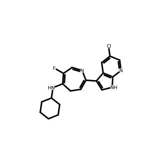 FC1=C(NC2CCCCC2)CC=C(c2c[nH]c3ncc(Cl)cc23)N=C1